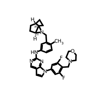 Cc1ccc(Nc2ncc3ccn(-c4cc(F)c(CN5CCOCC5)c(F)c4)c3n2)cc1CN1[C@H]2CC[C@@H]3CCC321